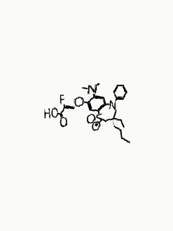 CCCC[C@@]1(CC)CN(c2ccccc2)c2cc(N(C)C)c(O/C=C(\F)C(=O)O)cc2S(=O)(=O)C1